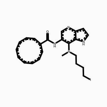 CN(CCCCI)c1c(NC(=O)c2ccccccccc2)cnc2cc[nH]c12